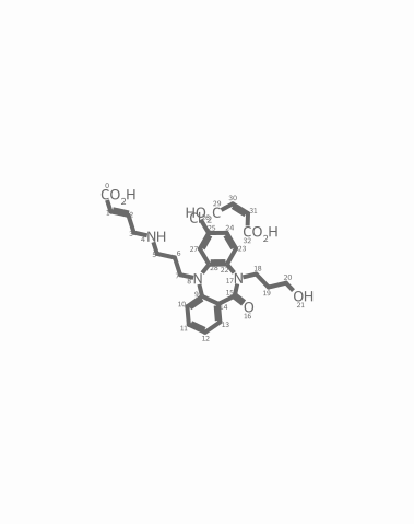 O=C(O)/C=C/CNCCCN1c2ccccc2C(=O)N(CCCO)c2ccc(Cl)cc21.O=C(O)/C=C\C(=O)O